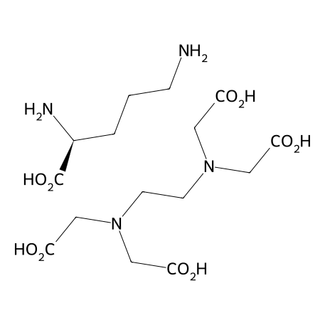 NCCC[C@H](N)C(=O)O.O=C(O)CN(CCN(CC(=O)O)CC(=O)O)CC(=O)O